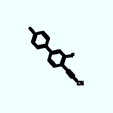 Cc1ccc(-c2ccc(C#CC#N)c(F)c2)cc1